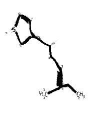 CC(C)=CCCc1ccsc1